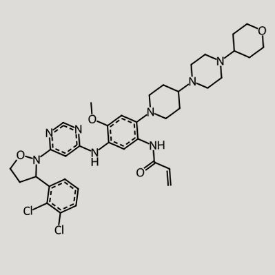 C=CC(=O)Nc1cc(Nc2cc(N3OCCC3c3cccc(Cl)c3Cl)ncn2)c(OC)cc1N1CCC(N2CCN(C3CCOCC3)CC2)CC1